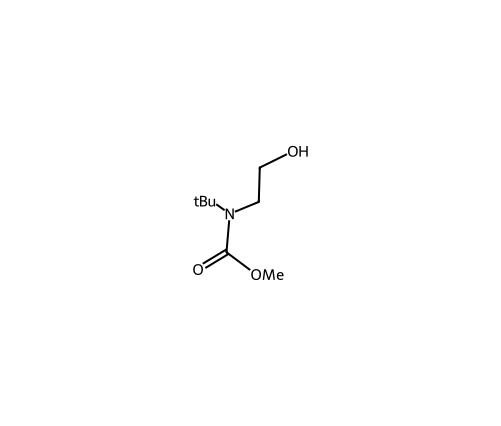 COC(=O)N(CCO)C(C)(C)C